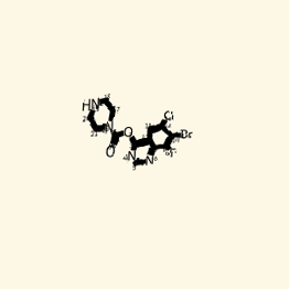 O=C(Oc1ncnc2c(F)c(Br)c(Cl)cc12)N1CCNCC1